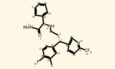 CNC(=O)[C@H](NCC[C@H](c1ccc(C(F)(F)F)nc1)c1ccc(F)c(C)c1)c1ccccc1